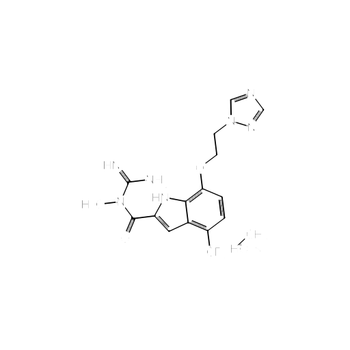 CN(C(=N)N)C(=O)c1cc2c(C(F)(F)F)ccc(OCCn3cncn3)c2[nH]1.CS(=O)(=O)O